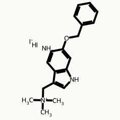 C[N+](C)(C)Cc1c[nH]c2cc(OCc3ccccc3)ccc12.I.N.[I-]